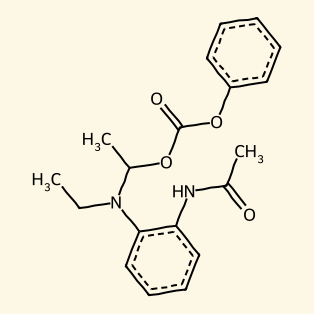 CCN(c1ccccc1NC(C)=O)C(C)OC(=O)Oc1ccccc1